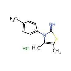 Cc1sc(=N)n(-c2ccc(C(F)(F)F)cc2)c1C.Cl